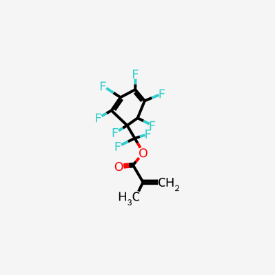 C=C(C)C(=O)OC(F)(F)C1(F)C(F)=C(F)C(F)=C(F)C1F